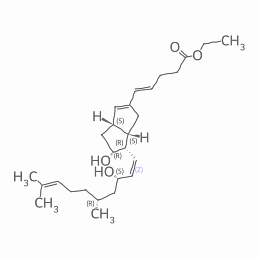 CCOC(=O)CCC=CC1=C[C@H]2C[C@@H](O)[C@@H](/C=C\[C@@H](O)C[C@H](C)CCC=C(C)C)[C@H]2C1